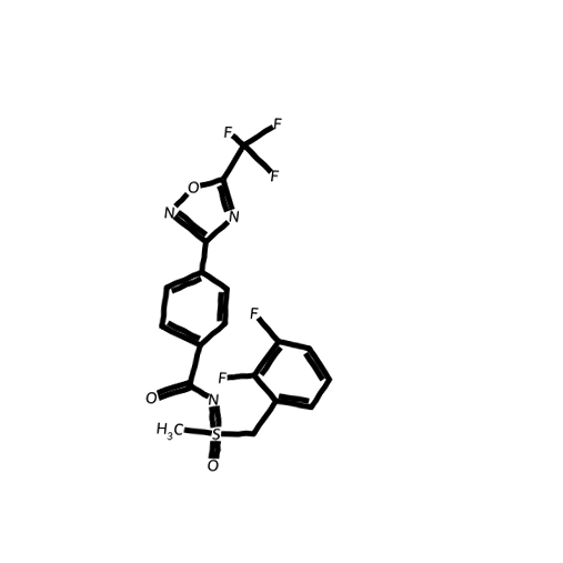 CS(=O)(Cc1cccc(F)c1F)=NC(=O)c1ccc(-c2noc(C(F)(F)F)n2)cc1